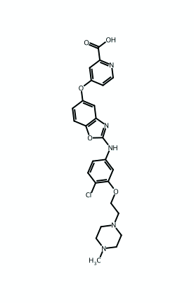 CN1CCN(CCOc2cc(Nc3nc4cc(Oc5ccnc(C(=O)O)c5)ccc4o3)ccc2Cl)CC1